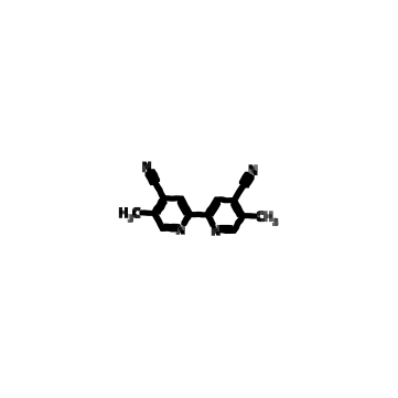 Cc1cnc(-c2cc(C#N)c(C)cn2)cc1C#N